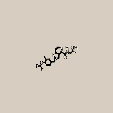 Cc1cc(Cn2cc3c(C(=O)NC[C@H](C)O)nccc3n2)ccc1OC(F)F